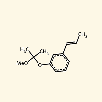 CC=Cc1cccc(OC(C)(C)OC)c1